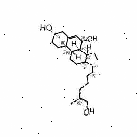 C[C@H](CO)CCC[C@@H](C)[C@H]1CC[C@H]2[C@@H]3[C@H](O)C=C4C[C@@H](O)CC[C@]4(C)[C@H]3CC[C@]12C